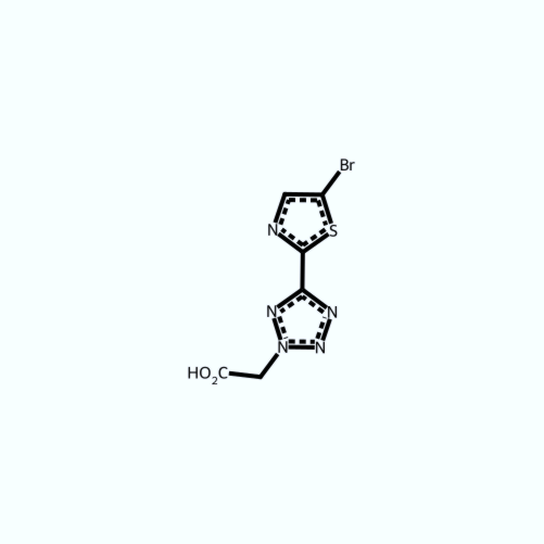 O=C(O)Cn1nnc(-c2ncc(Br)s2)n1